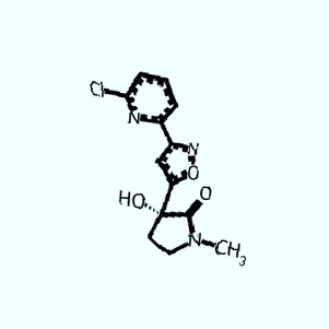 CN1CC[C@@](O)(c2cc(-c3cccc(Cl)n3)no2)C1=O